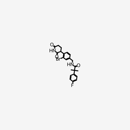 CC(C)(C(=O)NCc1ccc(C2CCC(=O)NC2=O)c(Br)c1)c1ccc(F)cc1